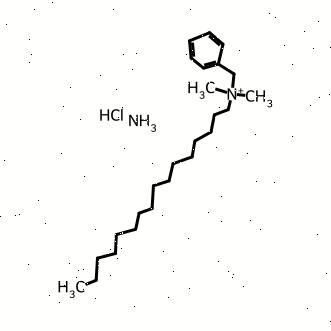 CCCCCCCCCCCCCCCC[N+](C)(C)Cc1ccccc1.Cl.N